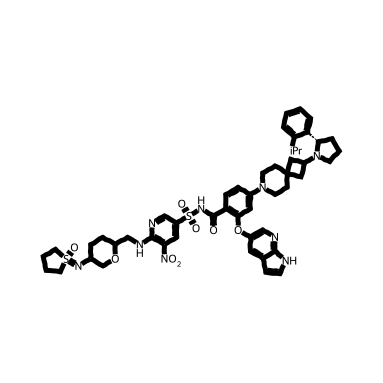 CC(C)c1ccccc1[C@@H]1CCCN1C1CC2(CCN(c3ccc(C(=O)NS(=O)(=O)c4cnc(NCC5CCC(N=S6(=O)CCCC6)CO5)c([N+](=O)[O-])c4)c(Oc4cnc5[nH]ccc5c4)c3)CC2)C1